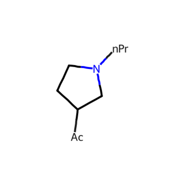 CCCN1CCC(C(C)=O)C1